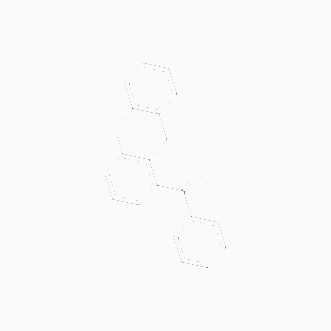 O=C(c1ccccc1)c1cccc2c1[CH]c1ccccc1O2